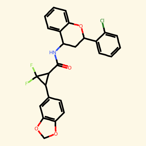 O=C(NC1CC(c2ccccc2Cl)Oc2ccccc21)C1C(c2ccc3c(c2)OCO3)C1(F)F